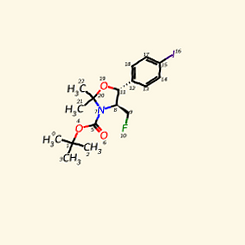 CC(C)(C)OC(=O)N1[C@H](CF)[C@@H](c2ccc(I)cc2)OC1(C)C